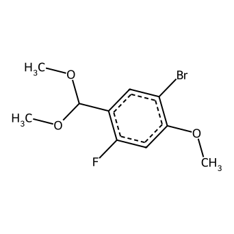 COc1cc(F)c(C(OC)OC)cc1Br